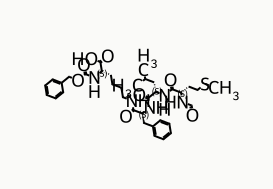 CSCC[C@H](NC=O)C(=O)N[C@@H](CC(C)C)C(=O)N[C@@H](Cc1ccccc1)C(=O)NCCCC[C@H](NC(=O)OCc1ccccc1)C(=O)O